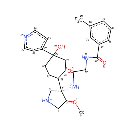 CCO[C@H]1CNC[C@@]1(NC(=O)CNC(=O)c1cccc(C(F)(F)F)c1)C1CCC(O)(c2ccncc2)CC1